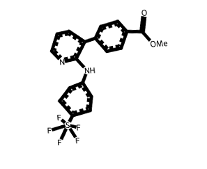 COC(=O)c1ccc(-c2cccnc2Nc2ccc(S(F)(F)(F)(F)F)cc2)cc1